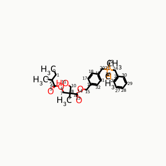 CCC(C)C(=O)OCC(C)(CO)C(=O)OCc1ccc(C[PH](C)(C)Cc2ccccc2)cc1